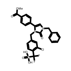 COC(=O)c1ccc(-c2cn(Cc3ccccc3)c(=O)n2Cc2ccc(C(F)(F)P(=O)(O)O)c(Cl)c2)cc1